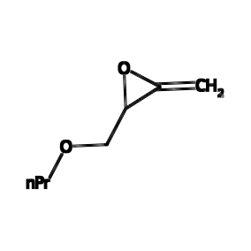 C=C1OC1COCCC